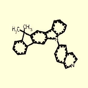 CC1(C)c2ccccc2-c2cc3c(cc21)c1ccccc1n3-c1ccc2cnccc2c1